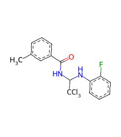 Cc1cccc(C(=O)NC(Nc2ccccc2F)C(Cl)(Cl)Cl)c1